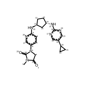 CN1C(=O)CN(c2ccc(N[C@H]3CC[C@H](Nc4ncc(C5CC5)cn4)C3)nc2)C1=O